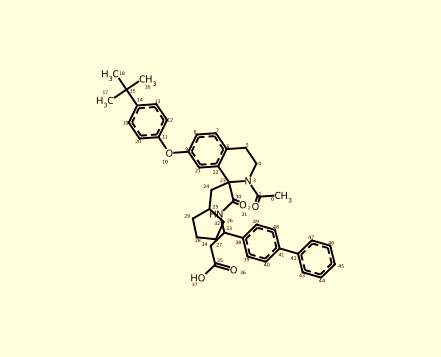 CC(=O)N1CCc2ccc(Oc3ccc(C(C)(C)C)cc3)cc2C1(CC1CCCC1)C(=O)NC(CC(=O)O)c1ccc(-c2ccccc2)cc1